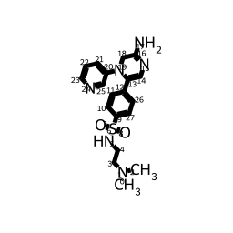 CN(C)CCNS(=O)(=O)c1ccc(C2=CN=C(N)CN2c2cccnc2)cc1